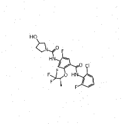 C[C@H](Oc1cc(NC(=O)N2CCC(O)C2)c(F)cc1C(=O)Nc1c(F)cccc1Cl)C(F)(F)F